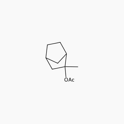 CC(=O)OC1(C)CC2CCC1C2